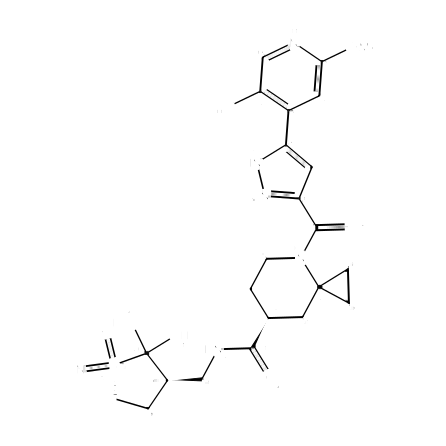 COc1cc(-c2cc(C(=O)N3CC[C@H](C(=O)NC[C@H]4CC[S@](=N)(=O)C4(C)C)CC34CC4)n[nH]2)c(F)cn1